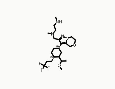 CNCCN(C)Cc1nn2c(c1[C@@H]1CC[C@H](CCC(F)(F)F)C(C(C)OC)C1)COCC2